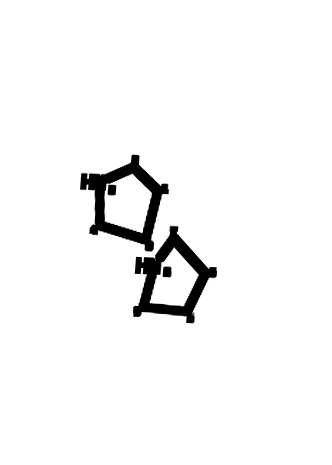 C1CCNC1.C1CCNC1